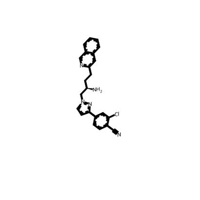 N#Cc1ccc(-c2ccn(C[C@H](N)CCc3cc4ccccc4cn3)n2)cc1Cl